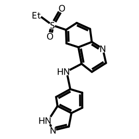 CCS(=O)(=O)c1ccc2nccc(Nc3ccc4cn[nH]c4c3)c2c1